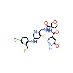 O=C(N[C@@]1(C(=O)NCc2ncc(Nc3ccc(Cl)cc3CF)cc2F)CCOC1)c1cn[nH]c(=O)c1